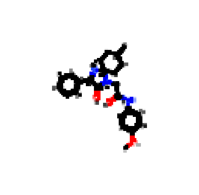 COc1ccc(NC(=O)CN2C(=O)C(c3ccccc3)=NC23CCC(C)CC3)cc1